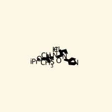 CC(C)OC(C)(C)c1csc(NC(=O)c2c(Cl)ccn2Cc2ccncc2)n1